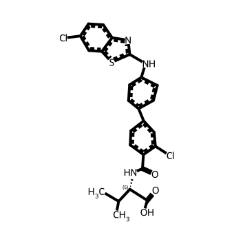 CC(C)[C@H](NC(=O)c1ccc(-c2ccc(Nc3nc4ccc(Cl)cc4s3)cc2)cc1Cl)C(=O)O